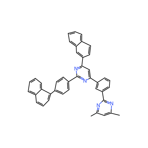 Cc1cc(C)nc(-c2cccc(-c3cc(-c4ccc5ccccc5c4)nc(-c4ccc(-c5cccc6ccccc56)cc4)n3)c2)n1